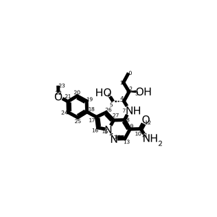 CC[C@@H](O)[C@@H](CO)Nc1c(C(N)=O)cnn2cc(-c3ccc(OC)cc3)cc12